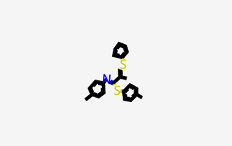 C/C(=C\Sc1ccccc1)C(=Nc1ccc(C)cc1)Sc1ccc(C)cc1